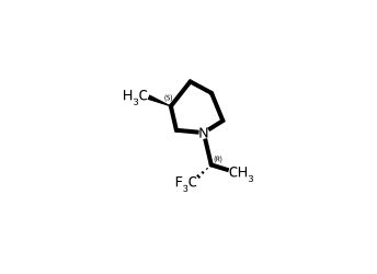 C[C@H]1CCCN([C@H](C)C(F)(F)F)C1